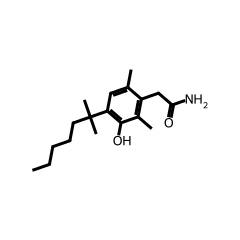 CCCCCC(C)(C)c1cc(C)c(CC(N)=O)c(C)c1O